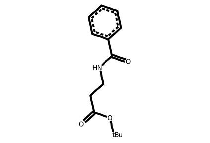 CC(C)(C)OC(=O)CCNC(=O)c1ccccc1